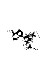 COC(=O)O[C@@]1(C#N)O[C@@H](c2ccc3c(N)ncnn23)[C@@H]2OC(C)(C)O[C@@H]21